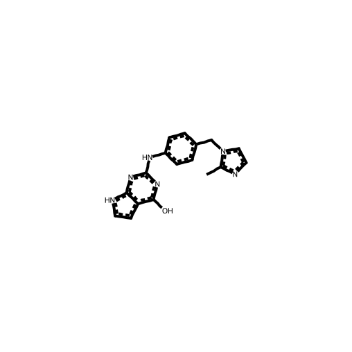 Cc1nccn1Cc1ccc(Nc2nc(O)c3cc[nH]c3n2)cc1